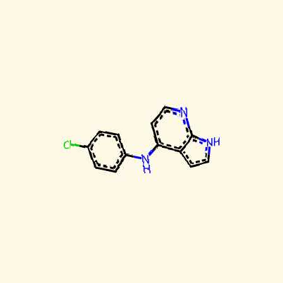 Clc1ccc(Nc2ccnc3[nH]ccc23)cc1